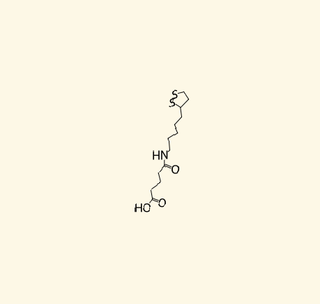 O=C(O)CCCC(=O)NCCCCCC1CCSS1